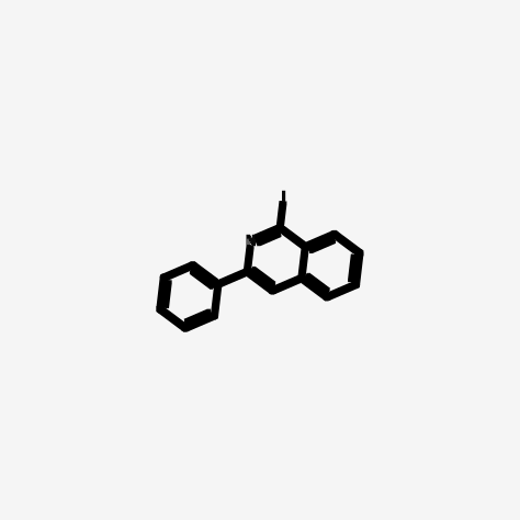 Ic1nc(-c2ccccc2)cc2ccccc12